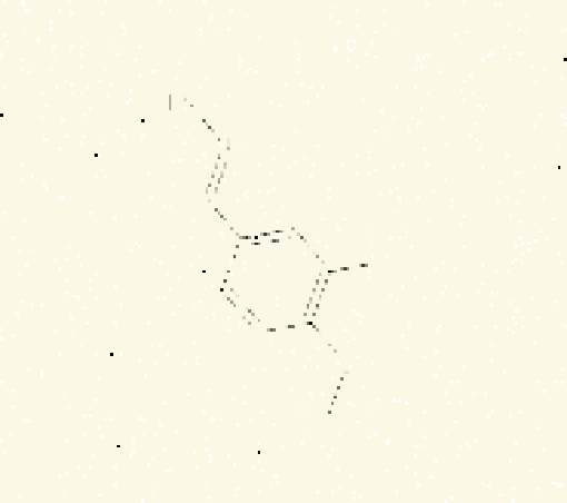 COc1ccc(C=NN)cc1F